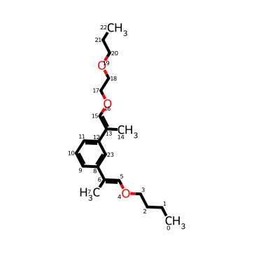 CCCCOC=C(C)c1cccc(C(C)=COCCOCCC)c1